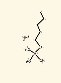 CCCCCO[Si](O)(O)O.[NaH]